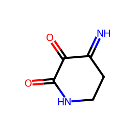 N=C1CCNC(=O)C1=O